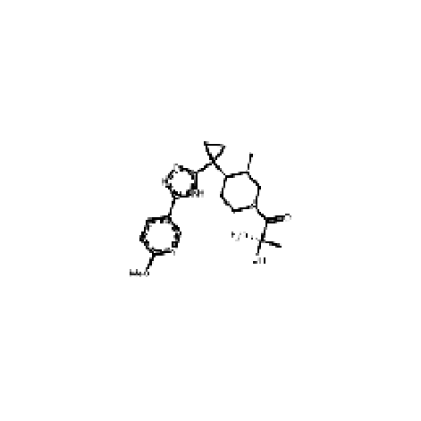 COc1ccc(-c2nnc(C3([C@@H]4CCN(C(=O)[C@@](C)(O)C(F)(F)F)C[C@@H]4C)CC3)[nH]2)cn1